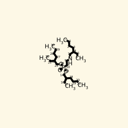 CCCCC(CC)CNCCP(=O)(OCC(CC)CCCC)OCC(CC)CCCC